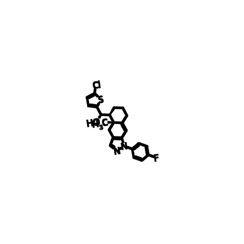 C[C@]12Cc3cnn(-c4ccc(F)cc4)c3C=C1CCC[C@@H]2[C@@H](O)c1ccc(Cl)s1